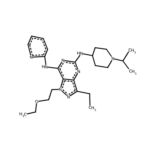 CCOCCn1nc(CC)c2nc(NC3CCN(C(C)C)CC3)nc(Nc3ccccn3)c21